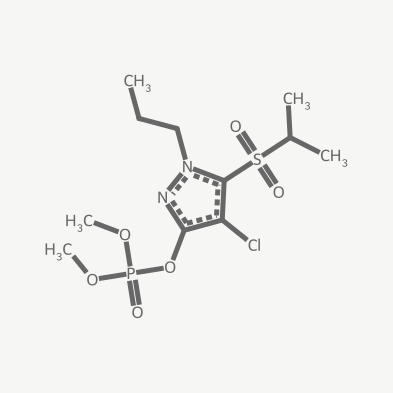 CCCn1nc(OP(=O)(OC)OC)c(Cl)c1S(=O)(=O)C(C)C